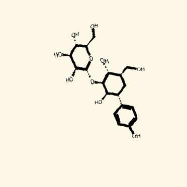 OC[C@H]1C[C@H](c2ccc(O)cc2)[C@@H](O)[C@@H](O[C@H]2O[C@H](CO)[C@@H](O)[C@H](O)[C@@H]2O)[C@@H]1O